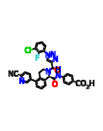 N#Cc1ccc(-c2cccc3c2CCN(C(=O)c2cn(-c4cccc(Cl)c4F)nn2)[C@H]3C(=O)Nc2ccc(C(=O)O)cc2)cn1